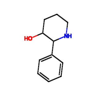 OC1CCCNC1c1ccccc1